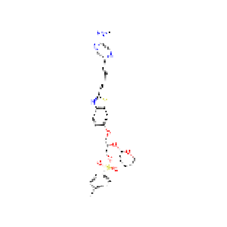 CNc1cnc(C#CC=Cc2nc3ccc(OCC(COS(=O)(=O)c4ccc(C)cc4)OC4CCCCO4)cc3s2)cn1